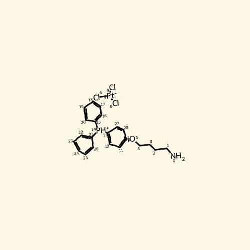 NCCCCO.[Cl][Pt-]([Cl])[Cl].c1ccc([PH+](c2ccccc2)c2ccccc2)cc1